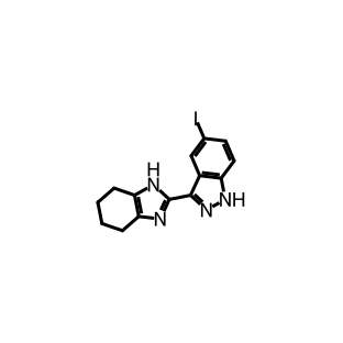 Ic1ccc2[nH]nc(-c3nc4c([nH]3)CCCC4)c2c1